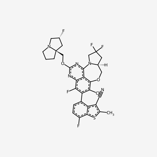 Cc1sc2c(F)ccc(-c3c(Cl)c4c5c(nc(OC[C@@]67CCCN6C[C@H](F)C7)nc5c3F)N3CC(F)(F)C[C@H]3CO4)c2c1C#N